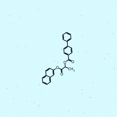 CC(OC(=O)c1ccc(-c2ccccc2)cc1)C(=O)Oc1ccc2ccccc2c1